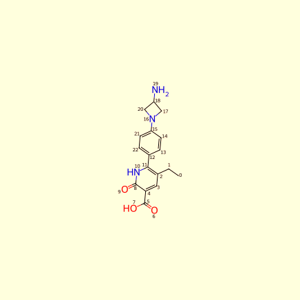 CCc1cc(C(=O)O)c(=O)[nH]c1-c1ccc(N2CC(N)C2)cc1